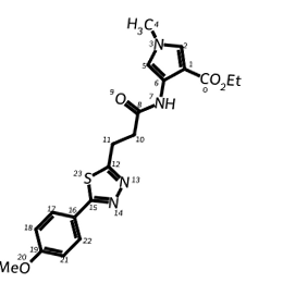 CCOC(=O)c1cn(C)cc1NC(=O)CCc1nnc(-c2ccc(OC)cc2)s1